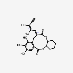 C#C/C(O)=C(O)\C=C1/Cc2c(cc(O)c(O)c2O)C(=O)OC2CCCCC2OC1=O